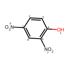 O=[N+]([O-])c1c[c]c(O)c([N+](=O)[O-])c1